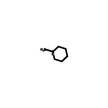 [SiH3][SiH]1CCCCC1